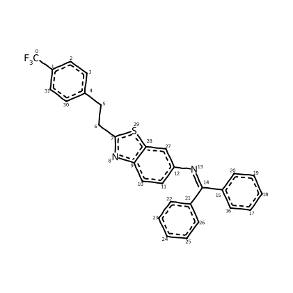 FC(F)(F)c1ccc(CCc2nc3ccc(N=C(c4ccccc4)c4ccccc4)cc3s2)cc1